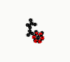 c1ccc(-c2nc(-c3ccccc3)nc(-c3c(-n4c5ccccc5c5ccccc54)c(-n4c5ccccc5c5ccccc54)c(-n4c5ccccc5c5ccccc54)c(-n4c5ccccc5c5ccccc54)c3-n3c4ccccc4c4c(-c5ccc6c7cc(-c8ccc9c(c8)c8ccccc8n9-c8nc(-c9ccccc9)nc(-c9ccccc9)n8)ccc7n(-c7ccccc7)c6c5)cccc43)n2)cc1